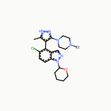 CCN1CCN(c2n[nH]c(C)c2-c2c(Cl)ccc3c2cnn3C2CCCCO2)CC1